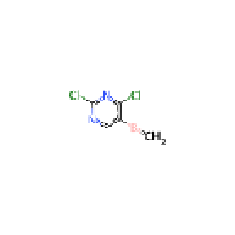 C=Bc1cnc(Cl)nc1Cl